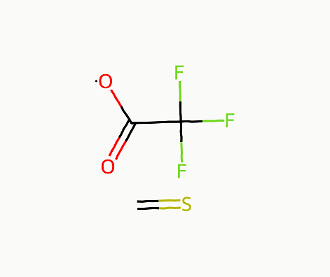 C=S.[O]C(=O)C(F)(F)F